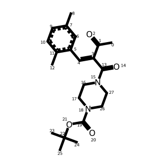 CC(=O)/C(=C\c1cc(C)ccc1C)C(=O)N1CCN(C(=O)OC(C)(C)C)CC1